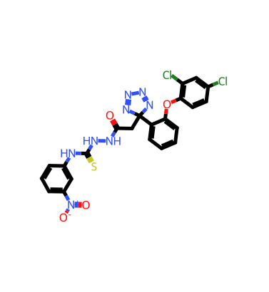 O=C(CC1(c2ccccc2Oc2ccc(Cl)cc2Cl)N=NN=N1)NNC(=S)Nc1cccc([N+](=O)[O-])c1